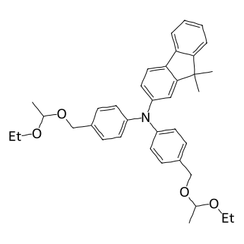 CCOC(C)OCc1ccc(N(c2ccc(COC(C)OCC)cc2)c2ccc3c(c2)C(C)(C)c2ccccc2-3)cc1